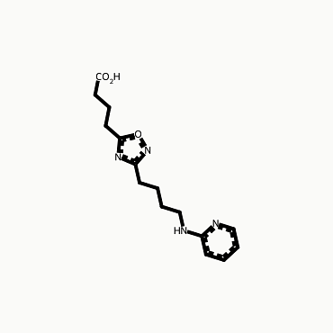 O=C(O)CCCc1nc(CCCCNc2ccccn2)no1